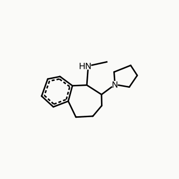 CNC1c2ccccc2CCCC1N1CCCC1